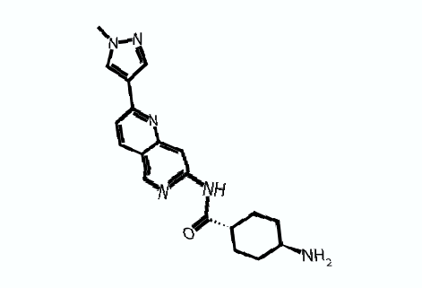 Cn1cc(-c2ccc3cnc(NC(=O)[C@H]4CC[C@H](N)CC4)cc3n2)cn1